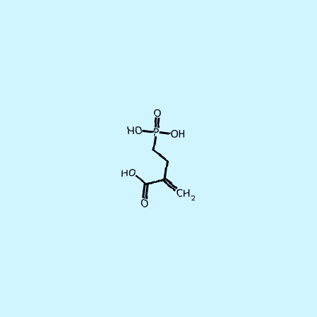 C=C(CCP(=O)(O)O)C(=O)O